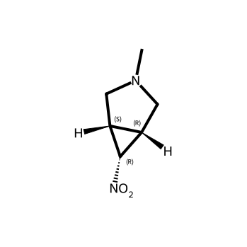 CN1C[C@@H]2[C@H](C1)[C@@H]2[N+](=O)[O-]